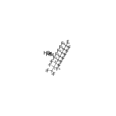 Br.Br.FC(F)C(F)(F)C(F)(F)C(F)(F)C(F)(F)C(F)(F)C(F)(F)C(F)(F)F